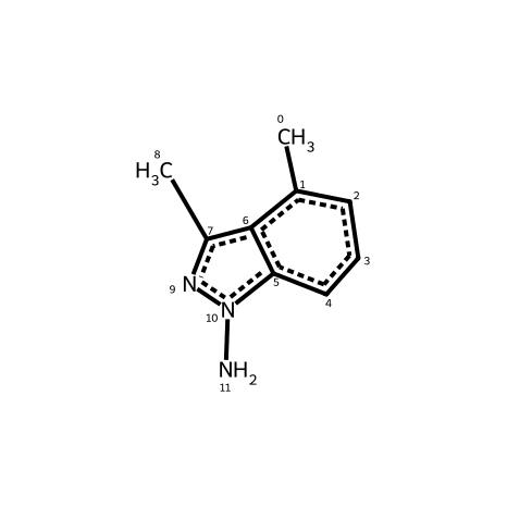 Cc1cccc2c1c(C)nn2N